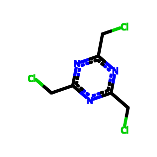 ClCc1nc(CCl)nc(CCl)n1